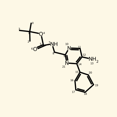 CC(C)(C)OC(=O)NCc1ncc(N)c(-c2ccccc2)n1